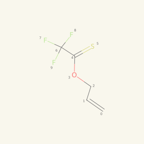 C=CCOC(=S)C(F)(F)F